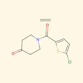 C=C.O=C1CCN(C(=O)c2ccc(Cl)s2)CC1